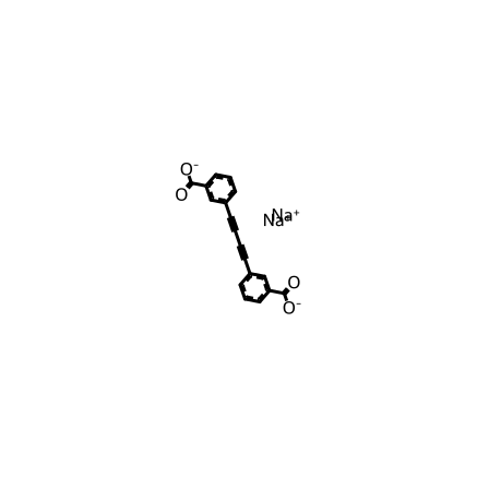 O=C([O-])c1cccc(C#CC#Cc2cccc(C(=O)[O-])c2)c1.[Na+].[Na+]